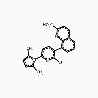 CCc1nc(-n2c(C)ccc2C)ccc1-c1cccc2ccc(C(=O)O)nc12